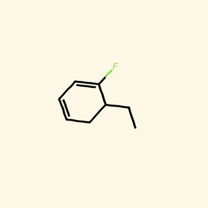 CCC1CC=CC=C1F